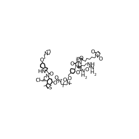 Cc1csc2c(OC(=O)N(C)CC(C)(C)CN(C)C(=O)OCc3ccc(N(C(=O)[C@@H](NC(=O)CCCCCN4C(=O)C=CC4=O)C(C)C)[C@@H](CCCNC(N)=O)C(N)=O)cc3)cc3c(c12)[C@@H](CCl)CN3C(=O)c1cc2cc(OCCN3CCCC3)ccc2[nH]1